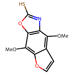 COc1c2ccoc2c(OC)c2oc(S)nc12